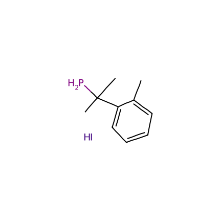 Cc1ccccc1C(C)(C)P.I